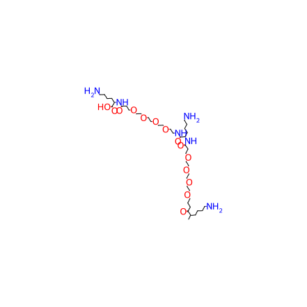 CC(CCCCN)C(=O)CCCOCCOCCOCCOCCC(=O)NC(CCCCN)C(=O)NCCOCCOCCOCCOCCC(=O)NC(CCCCN)C(=O)O